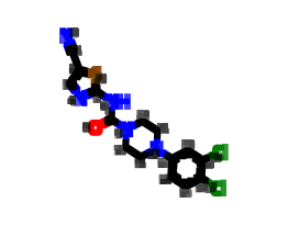 N#Cc1cnc(NC(=O)N2CCN(c3ccc(Cl)c(Cl)c3)CC2)s1